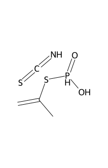 C=C(C)S[PH](=O)O.N=C=S